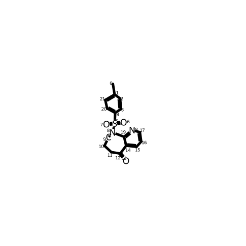 Cc1ccc(S(=O)(=O)N2CCCC(=O)c3cccnc32)cc1